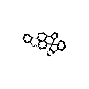 O=[N+]([O-])c1ccccc1-c1ccc2c3c(cccc13)C1(c3ccccc3-c3ccccc31)c1ccccc1-2